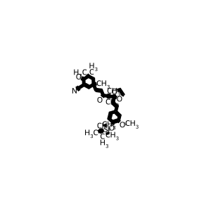 COc1cc(C=CC2(C(C)(C)C(=O)C=CC3(C)C=C(C#N)C(=O)C(C)(C)C3)OCCO2)ccc1O[Si](C)(C)C(C)(C)C